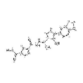 COC(=O)c1ccc(C(=O)N/N=C(\C)c2csc(-c3ccc4c(c3)CCO4)c2O)s1